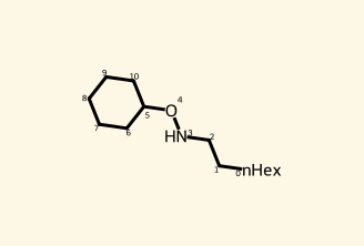 CCCCCCCCNOC1CCCCC1